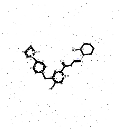 O=C(C/C=C/[C@H]1CCCC[C@@H]1O)c1cc(Cc2ccc(-n3cccn3)cc2)c(F)cn1